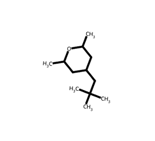 CC1CC(CC(C)(C)C)CC(C)O1